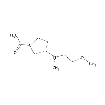 COCCN(C)C1CCN(C(C)=O)C1